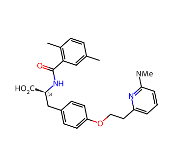 CNc1cccc(CCOc2ccc(C[C@H](NC(=O)c3cc(C)ccc3C)C(=O)O)cc2)n1